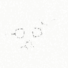 CCOC(=O)c1ccc(-[n+]2noc([O-])c2-c2cccc(O)c2)cc1